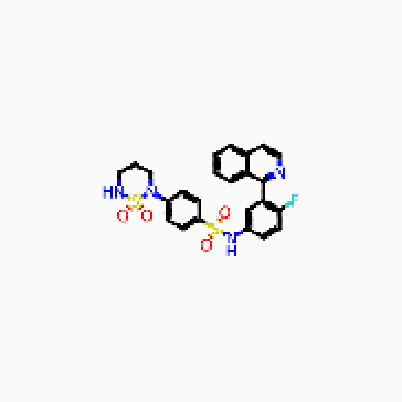 O=S(=O)(Nc1ccc(F)c(-c2nccc3ccccc23)c1)c1ccc(N2CCCNS2(=O)=O)cc1